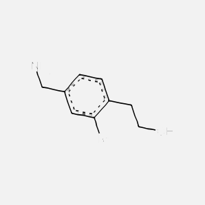 NCc1ccc(CCO)c(Br)c1